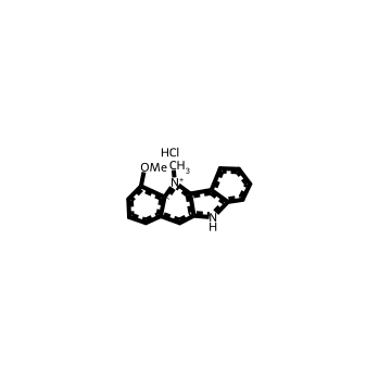 COc1cccc2cc3[nH]c4ccccc4c3[n+](C)c12.Cl